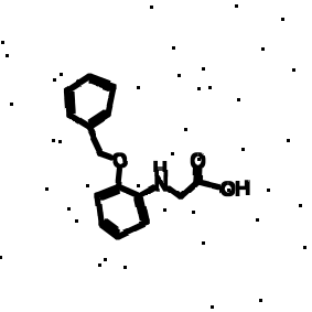 O=C(O)CNc1ccccc1OCc1ccccc1